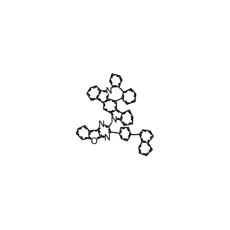 c1ccc2c(c1)-c1ccccc1-n1c3ccccc3c3cc4c(c-2c31)c1ccccc1n4-c1nc2c(nc1-c1ccc(-c3cccc4ccccc34)cc1)oc1ccccc12